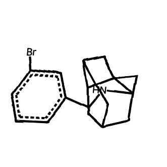 Brc1cccc(CNC23CC4CC5CC2(C3)C5C4)c1